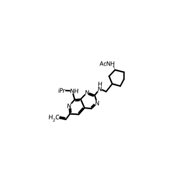 C=Cc1cc2cnc(NCC3CCC[C@@H](NC(C)=O)C3)nc2c(NC(C)C)n1